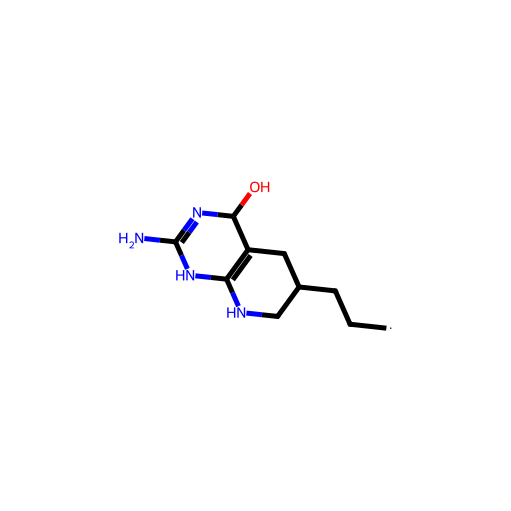 [CH2]CCC1CNC2=C(C1)C(O)N=C(N)N2